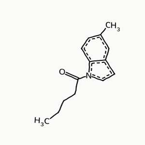 CCCCC(=O)n1ccc2cc(C)ccc21